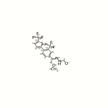 COC/C(=N\NC=O)c1ccc(-c2ccc(C(F)(F)F)s2)c(C(F)(F)F)c1